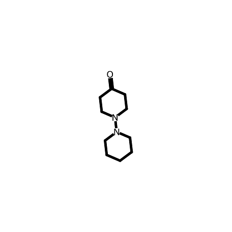 O=C1CCN(N2CCCCC2)CC1